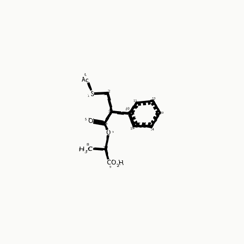 CC(=O)SCC(C(=O)OC(C)C(=O)O)c1ccccc1